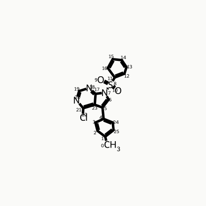 Cc1ccc(-c2cn(S(=O)(=O)c3ccccc3)c3ncnc(Cl)c23)cc1